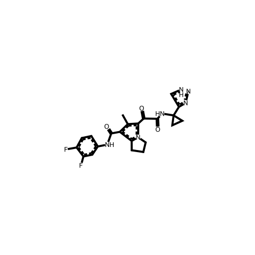 Cc1c(C(=O)Nc2ccc(F)c(F)c2)c2n(c1C(=O)C(=O)NC1(c3c[nH]nn3)CC1)CCC2